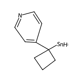 [SnH][C]1(c2ccncc2)CCC1